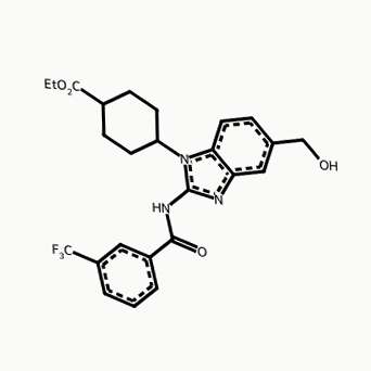 CCOC(=O)C1CCC(n2c(NC(=O)c3cccc(C(F)(F)F)c3)nc3cc(CO)ccc32)CC1